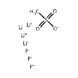 CS(=O)(=O)[O-].[F-].[F-].[F-].[Li+].[Li+].[Li+].[Li+]